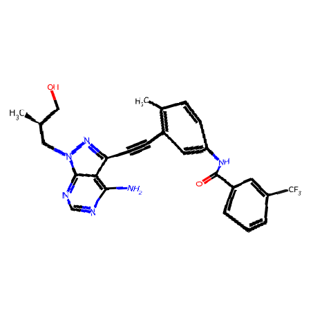 Cc1ccc(NC(=O)c2cccc(C(F)(F)F)c2)cc1C#Cc1nn(C[C@@H](C)CO)c2ncnc(N)c12